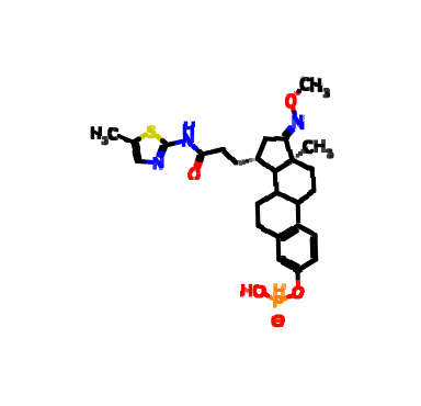 CO/N=C1\C[C@@H](CCC(=O)Nc2ncc(C)s2)C2C3CCc4cc(O[PH](=O)O)ccc4C3CC[C@]12C